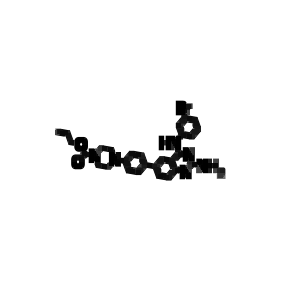 C=CCOC(=O)N1CCN(c2ccc(-c3ccc4nc(N)nc(Nc5cccc(Br)c5)c4c3)cc2)CC1